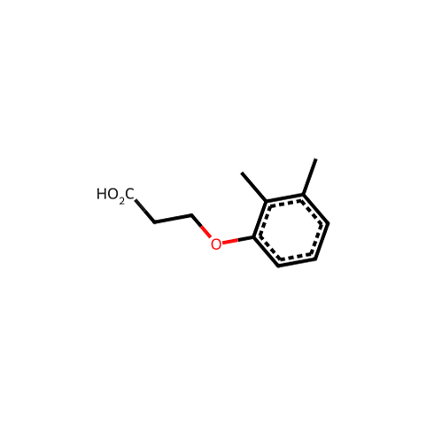 Cc1cccc(OCCC(=O)O)c1C